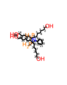 OCCCCCCC(P)(CCCCCCO)N(c1ccccc1)C(P)(CCCCCCO)CCCCCCO